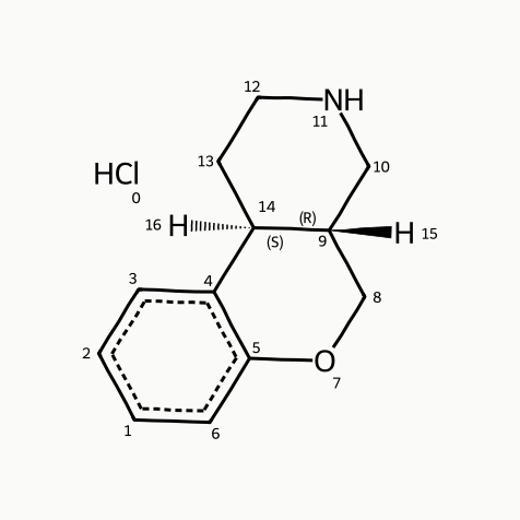 Cl.c1ccc2c(c1)OC[C@H]1CNCC[C@H]21